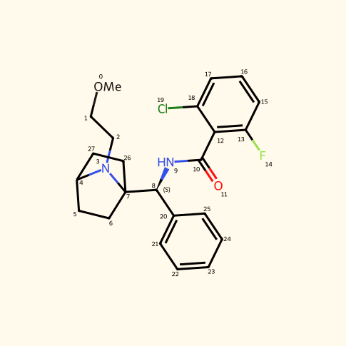 COCCN1C2CCC1([C@@H](NC(=O)c1c(F)cccc1Cl)c1ccccc1)CC2